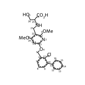 COc1nc(OCc2cccc(-c3ccccc3)c2Cl)nc(OC)c1CNC(CO)C(=O)O